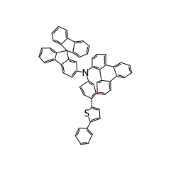 c1ccc(-c2ccc(-c3ccc(N(c4ccc5c(c4)C4(c6ccccc6-c6ccccc64)c4ccccc4-5)c4cccc5c6ccccc6c6ccccc6c45)cc3)s2)cc1